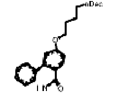 CCCCCCCCCCCCCCOc1ccc(C([NH])=O)c(-c2ccccc2)c1